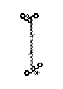 O=C(CCCCCCc1cc(Cc2ccccc2)c(O)c(Cc2ccccc2)c1)OCCCCCCOC(=O)CCCCCCc1cc(Cc2ccccc2)c(O)c(Cc2ccccc2)c1